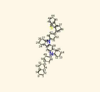 c1ccc2cc(-c3ccc(-n4c5ccccc5c5cc6c(cc54)c4ccccc4n6-c4ccc(-c5cccc6c5sc5ccccc56)cc4)cc3)ccc2c1